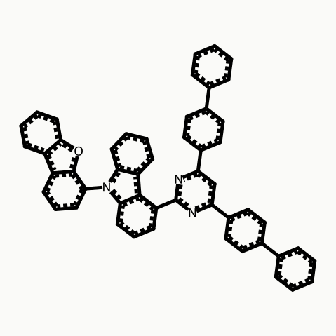 c1ccc(-c2ccc(-c3cc(-c4ccc(-c5ccccc5)cc4)nc(-c4cccc5c4c4ccccc4n5-c4cccc5c4oc4ccccc45)n3)cc2)cc1